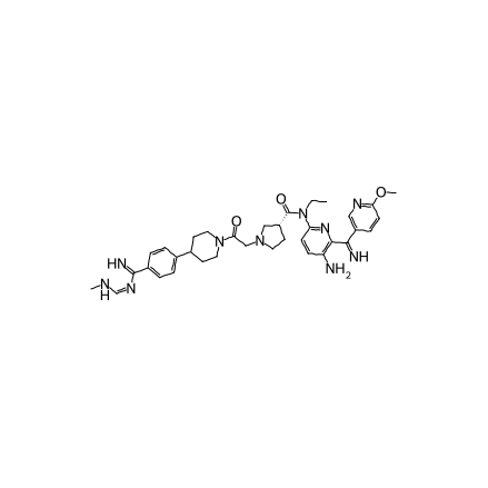 CCN(C(=O)[C@@H]1CCN(CC(=O)N2CCC(c3ccc(C(=N)/N=C\NC)cc3)CC2)C1)c1ccc(N)c(C(=N)c2ccc(OC)nc2)n1